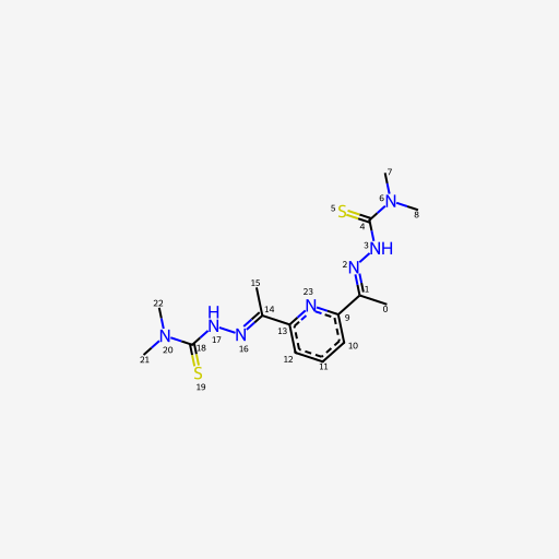 CC(=NNC(=S)N(C)C)c1cccc(C(C)=NNC(=S)N(C)C)n1